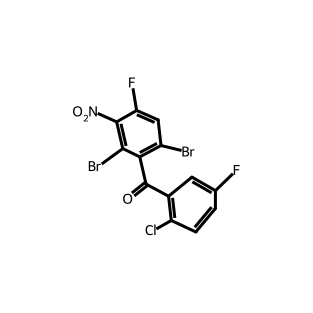 O=C(c1cc(F)ccc1Cl)c1c(Br)cc(F)c([N+](=O)[O-])c1Br